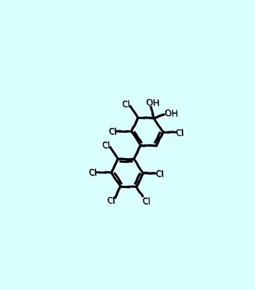 OC1(O)C(Cl)=CC(c2c(Cl)c(Cl)c(Cl)c(Cl)c2Cl)=C(Cl)C1Cl